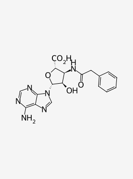 Nc1ncnc2c1ncn2[C@@H]1O[C@H](C(=O)O)[C@@H](NC(=O)Cc2ccccc2)[C@H]1O